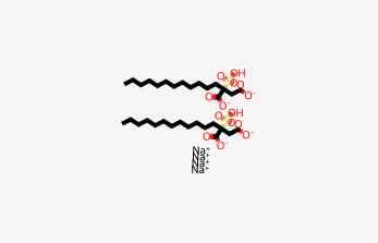 CCCCCCCCCCCCC(CC(=O)[O-])(C(=O)[O-])S(=O)(=O)O.CCCCCCCCCCCCC(CC(=O)[O-])(C(=O)[O-])S(=O)(=O)O.[Na+].[Na+].[Na+].[Na+]